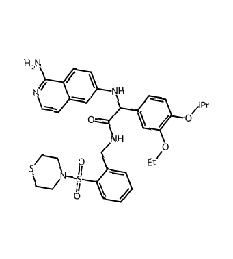 CCOc1cc(C(Nc2ccc3c(N)nccc3c2)C(=O)NCc2ccccc2S(=O)(=O)N2CCSCC2)ccc1OC(C)C